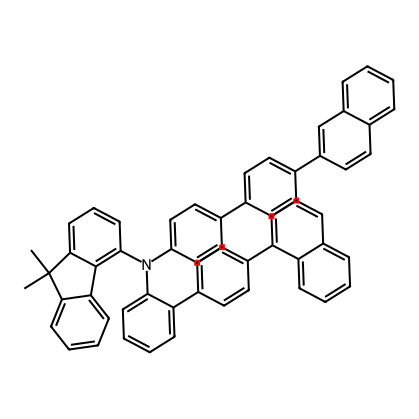 CC1(C)c2ccccc2-c2c(N(c3ccc(-c4ccc(-c5ccc6ccccc6c5)cc4)cc3)c3ccccc3-c3ccc(-c4cccc5ccccc45)cc3)cccc21